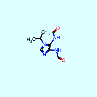 CC(C)n1cnc(NC=O)c1NC=O